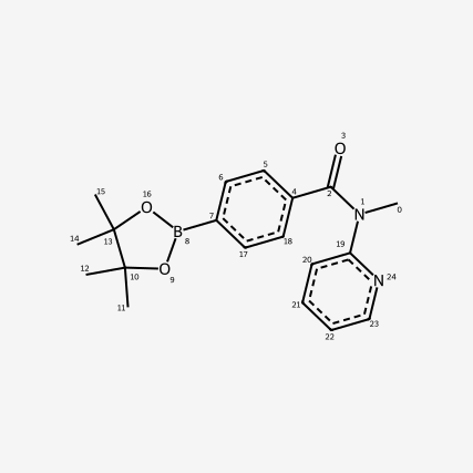 CN(C(=O)c1ccc(B2OC(C)(C)C(C)(C)O2)cc1)c1ccccn1